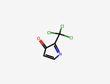 O=C1C=CN=C1C(Cl)(Cl)Cl